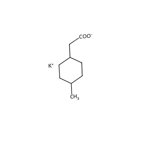 CC1CCC(CC(=O)[O-])CC1.[K+]